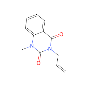 C=CCn1c(=O)c2ccccc2n(C)c1=O